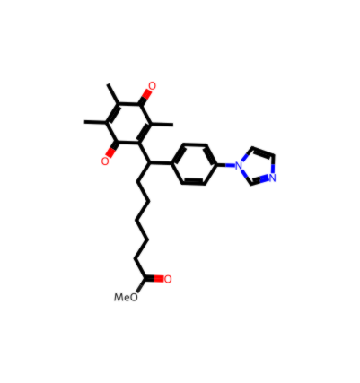 COC(=O)CCCCCC(C1=C(C)C(=O)C(C)=C(C)C1=O)c1ccc(-n2ccnc2)cc1